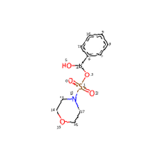 O=S(=O)(OB(O)c1ccccc1)N1CCOCC1